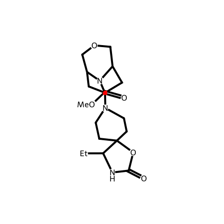 CCC1NC(=O)OC12CCN(C1CC3COCC(C1)N3C(=O)OC)CC2